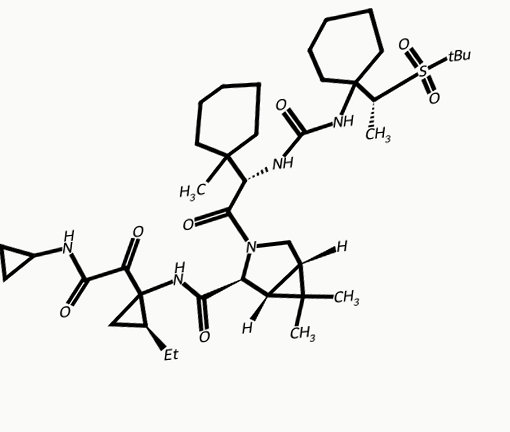 CC[C@H]1CC1(NC(=O)[C@@H]1[C@@H]2[C@H](CN1C(=O)[C@@H](NC(=O)NC1([C@@H](C)S(=O)(=O)C(C)(C)C)CCCCC1)C1(C)CCCCC1)C2(C)C)C(=O)C(=O)NC1CC1